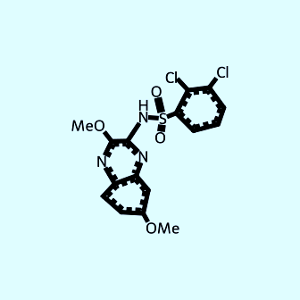 COc1ccc2nc(OC)c(NS(=O)(=O)c3cccc(Cl)c3Cl)nc2c1